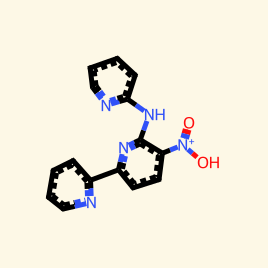 O=[N+](O)c1ccc(-c2ccccn2)nc1Nc1ccccn1